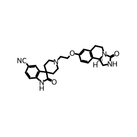 N#Cc1ccc2c(c1)C1(CCN(CCOc3ccc4c(c3)CCN3C(=O)NC[C@@H]43)CC1)C(=O)N2